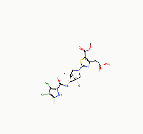 COC(=O)c1sc(N2C[C@@H]3[C@H](C2)[C@H]3NC(=O)c2[nH]c(C)c(Cl)c2Cl)nc1CC(=O)O